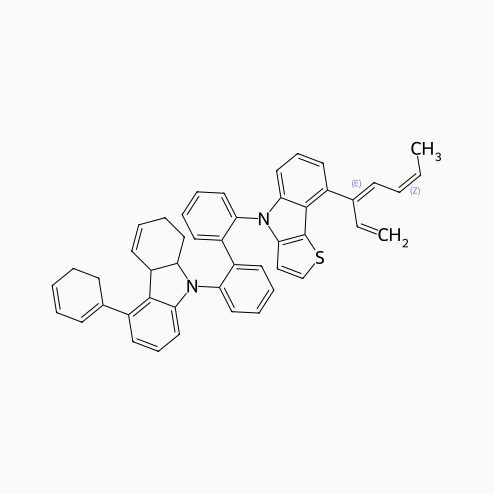 C=C/C(=C\C=C/C)c1cccc2c1c1sccc1n2-c1ccccc1-c1ccccc1N1c2cccc(C3=CC=CCC3)c2C2C=CCCC21